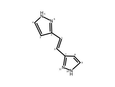 C(=C\c1cc[nH]n1)/c1cc[nH]n1